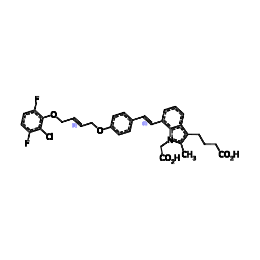 Cc1c(CCCC(=O)O)c2cccc(/C=C/c3ccc(OC/C=C/COc4c(F)ccc(F)c4Cl)cc3)c2n1CC(=O)O